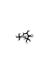 CC(CNC(C)(C)C)C(=O)C(C)(C)C